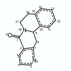 O=C1c2cccnc2CC2c3ccccc3CCN12